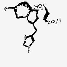 Fc1ccc2c(c1)C=C(CC1CNC=N1)CC2.O=C(O)C=CC(=O)O